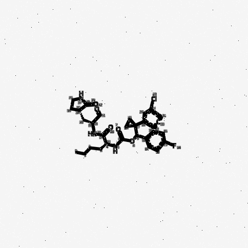 CCCC[C@H](NC(=O)OC(c1ccc(F)cc1)C1(c2cccc(Cl)c2)CC1)C(=O)N[C@H](C=O)C[C@@H]1CCNC1=O